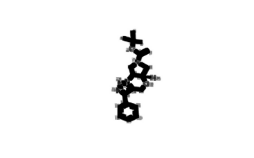 C=C(OC(C)(C)C)N1CC2[C@H](C1)OCc1c(-c3ccccc3)nnn12